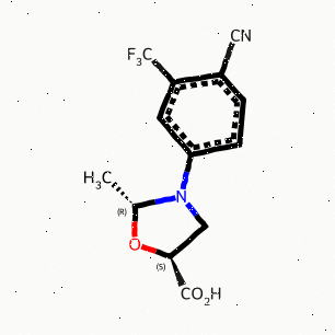 C[C@H]1O[C@H](C(=O)O)CN1c1ccc(C#N)c(C(F)(F)F)c1